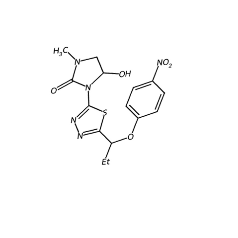 CCC(Oc1ccc([N+](=O)[O-])cc1)c1nnc(N2C(=O)N(C)CC2O)s1